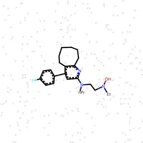 CCCN(CCN(O)CC)c1cc(-c2ccc(F)cc2)c2c(n1)CCCCCC2